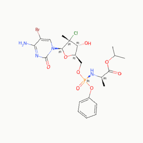 CC(C)OC(=O)[C@@H](C)N[P@@](=O)(OC[C@H]1O[C@@H](n2cc(Br)c(N)nc2=O)[C@](C)(Cl)[C@@H]1O)Oc1ccccc1